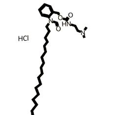 CCCCCCCCCCCCCCCCCCN(C=O)c1ccccc1COC(=O)NCCN(C)C.Cl